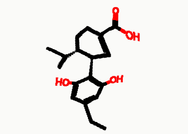 CCc1cc(O)c([C@@H]2C=C(C(=O)O)CC[C@H]2C(C)C)c(O)c1